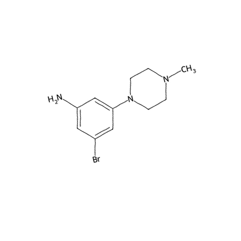 CN1CCN(c2cc(N)cc(Br)c2)CC1